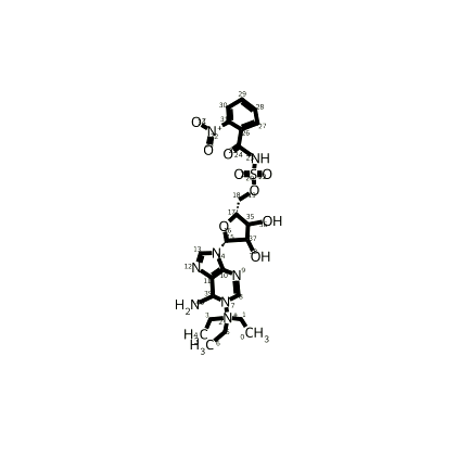 CC[N+](CC)(CC)N1C=Nc2c(ncn2[C@@H]2O[C@H](COS(=O)(=O)NC(=O)c3ccccc3[N+](=O)[O-])C(O)C2O)C1N